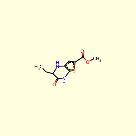 CCC1Nc2cc(C(=O)OC)sc2NC1=O